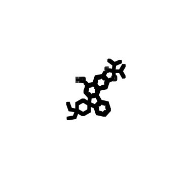 CCC1(CC)CCC2(CC1)c1ccccc1-c1c2cc(O)c2cc3c(cc12)OC(C(C)C)(C(C)C)S3